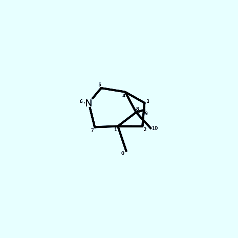 CC12CCC(C[N]C1)C2(C)C